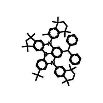 Cc1cc2c(cc1N1c3cc4c(cc3B3c5ccc(C(C)(C)C)cc5N(c5ccc6c(c5)C(C)(C)CCC6(C)C)c5cc(C(c6ccccc6)c6ccccc6)cc1c53)C(C)(C)CC4(C)C)C(C)(C)CCC2(C)C